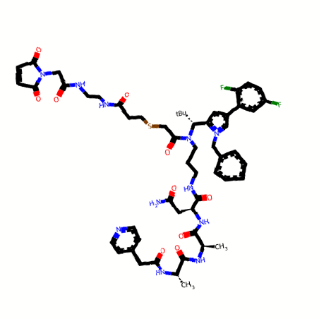 C[C@H](NC(=O)Cc1ccncc1)C(=O)N[C@H](C)C(=O)N[C@@H](CC(N)=O)C(=O)NCCCN(C(=O)CSCCC(=O)NCCNC(=O)CN1C(=O)C=CC1=O)[C@@H](c1cc(-c2cc(F)ccc2F)cn1Cc1ccccc1)C(C)(C)C